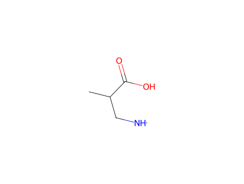 CC(C[NH])C(=O)O